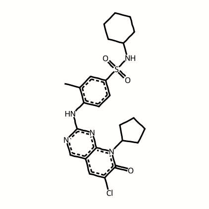 Cc1cc(S(=O)(=O)NC2CCCCC2)ccc1Nc1ncc2cc(Cl)c(=O)n(C3CCCC3)c2n1